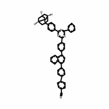 N#Cc1ccc(-c2ccc(-c3ccc(-c4ccc(-c5nc(-c6ccccc6)nc(-c6ccc(C78C[C@H]9C[C@@H](C7)C[C@@H](C8)C9)cc6)n5)cc4)c4ccccc34)cc2)cc1